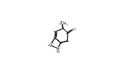 CC1C=C2ONC2CC1=O